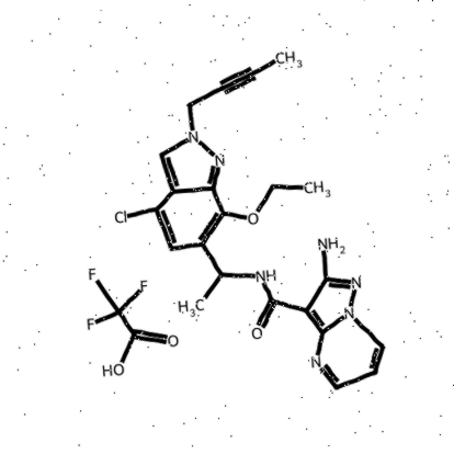 CC#CCn1cc2c(Cl)cc(C(C)NC(=O)c3c(N)nn4cccnc34)c(OCC)c2n1.O=C(O)C(F)(F)F